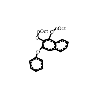 CCCCCCCCOc1c(Oc2ccccc2)cc2ccccc2c1OCCCCCCCC